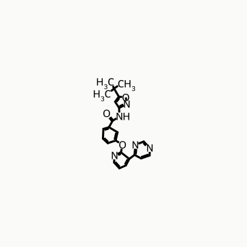 CC(C)(C)c1cc(NC(=O)c2cccc(Oc3ncccc3-c3ccncn3)c2)no1